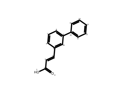 O=C(O)/C=C/c1cccc(-c2c[c]ccc2)c1